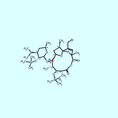 CC[C@H]1OC(=O)[C@H](C)[C@@H](O[Si](C)(C)C)[C@H](C)[C@@H](OC2O[C@H](C)C[C@H](N(C)C)[C@H]2O[Si](C)(C)C)[C@@]2(C)C[C@@H](C)C3(OC1(C)C=C3CBr)O2